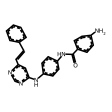 Nc1ccc(C(=O)Nc2ccc(Nc3cc(C=Cc4ccccc4)ncn3)cc2)cc1